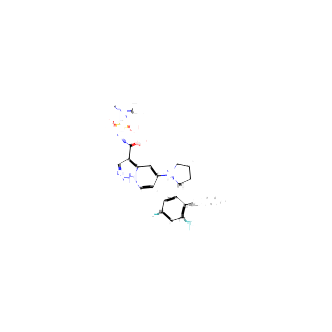 CCN(C)S(=O)(=O)NC(=O)c1cnn2ccc(N3CCC[C@@H]3c3cc(F)cc(F)c3OC)cc12